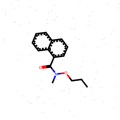 CCCON(C)C(=O)c1cccc2ccccc12